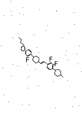 CCCCOc1ccc(C2CCC(/C=C/c3ccc(C4CCC(C)CC4)c(F)c3F)CC2)c(F)c1